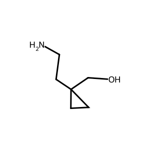 NCCC1(CO)CC1